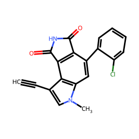 C#Cc1cn(C)c2cc(-c3ccccc3Cl)c3c(c12)C(=O)NC3=O